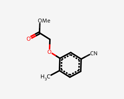 COC(=O)COc1cc(C#N)ccc1C